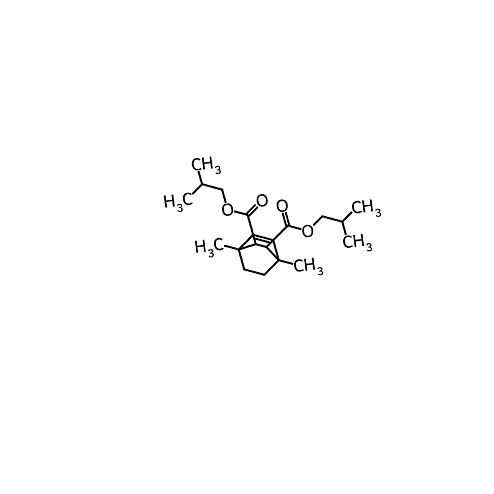 CC(C)COC(=O)C1C(C(=O)OCC(C)C)C2(C)C=CC1(C)CC2